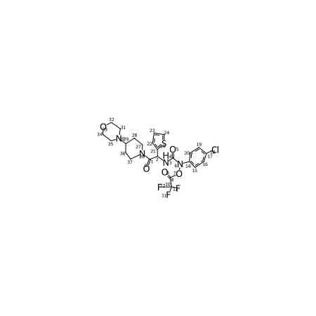 O=C(C(NC(=O)N(OC(=O)C(F)(F)F)c1ccc(Cl)cc1)c1cccs1)N1CCC(N2CCOCC2)CC1